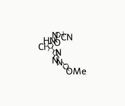 COc1ccc(CN(C)c2cc3ncc(-c4cc(NC(=O)c5cc(C(C)(C)C#N)ccn5)cc(Cl)c4C)cc3cn2)cc1